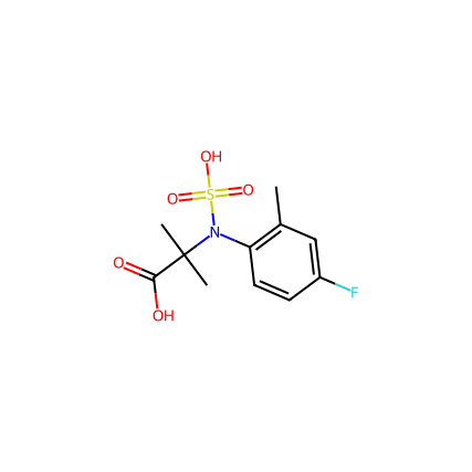 Cc1cc(F)ccc1N(C(C)(C)C(=O)O)S(=O)(=O)O